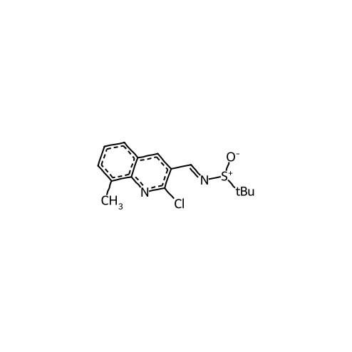 Cc1cccc2cc(C=N[S+]([O-])C(C)(C)C)c(Cl)nc12